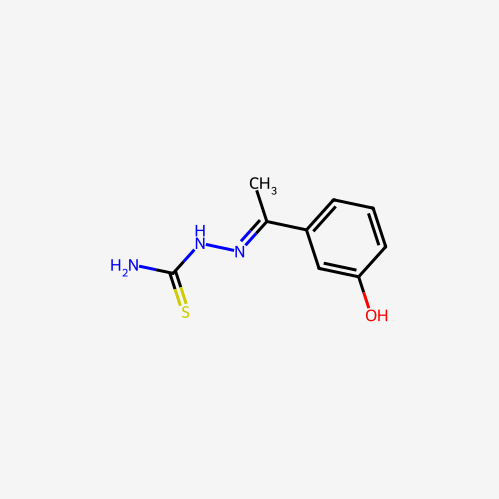 CC(=NNC(N)=S)c1cccc(O)c1